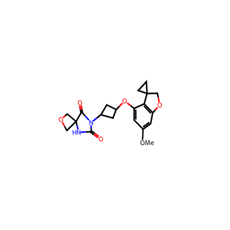 COc1cc2c(c(OC3CC(N4C(=O)NC5(COC5)C4=O)C3)c1)C1(CC1)CO2